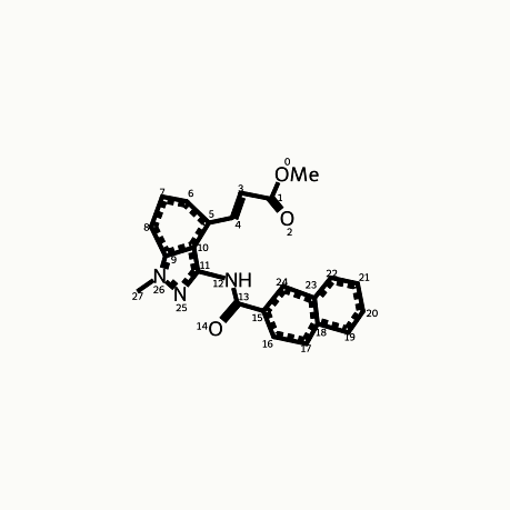 COC(=O)/C=C/c1cccc2c1c(NC(=O)c1ccc3ccccc3c1)nn2C